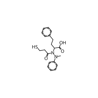 CN(c1ccccc1)N(C(=O)CCS)C(CCc1ccccc1)C(=O)O